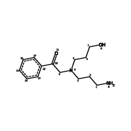 NCCCN(CCCO)CC(=O)c1ccccc1